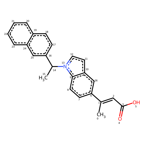 CC(=CC(=O)O)c1ccc2c(ccn2C(C)c2ccc3ccccc3c2)c1